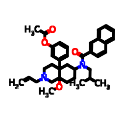 C=CCN1CCC2(c3cccc(OC(C)=O)c3)CC(N(CC(C)C)C(=O)c3ccc4ccccc4c3)CCC2(OC)C1